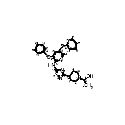 CC(O)N1CCC(c2nsc(Nc3ncc(Sc4ccccn4)cc3Oc3ccccc3)n2)CC1